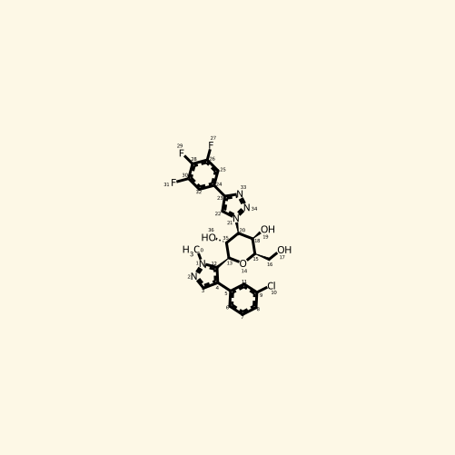 Cn1ncc(-c2cccc(Cl)c2)c1[C@@H]1O[C@H](CO)[C@H](O)[C@H](n2cc(-c3cc(F)c(F)c(F)c3)nn2)[C@H]1O